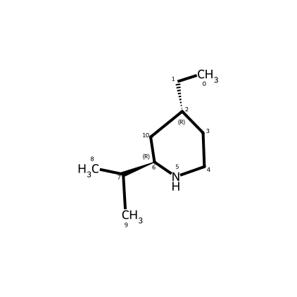 CC[C@@H]1CCN[C@@H](C(C)C)C1